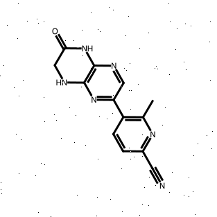 Cc1nc(C#N)ccc1-c1cnc2c(n1)NCC(=O)N2